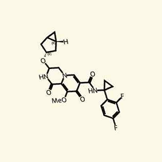 COc1c2n(cc(C(=O)NC3(c4ccc(F)cc4F)CC3)c1=O)CC(O[C@@H]1CC3C[C@@H]3C1)NC2=O